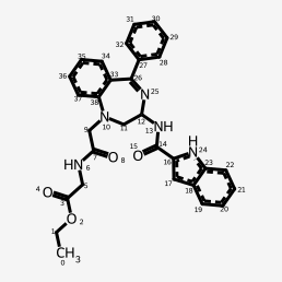 CCOC(=O)CNC(=O)CN1CC(NC(=O)c2cc3ccccc3[nH]2)N=C(c2ccccc2)c2ccccc21